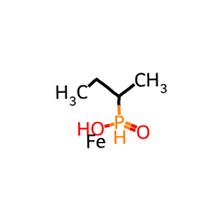 CCC(C)[PH](=O)O.[Fe]